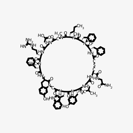 CCCC[C@H]1C(=O)N(C)CC(=O)N[C@@H](CC(=O)O)C(=O)N[C@@H](CCCNC(=N)N)C(=O)N(C)[C@@H](Cc2ccccc2)C(=O)N[C@H]2Cc3ccc(O)cc3N(CC(=O)N[C@@H](Cc3c[nH]c4ccccc34)C(=O)N[C@@H](Cc3ccc(O)cc3)C(=O)N[C@@H](CC(C)C)C(=O)N[C@H](C(=O)NCC(N)=O)CSCC(=O)N[C@@H](Cc3ccccc3)C(=O)N(C)[C@@H](Cc3ccccc3)C(=O)N1C)C2=O